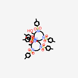 C=C1CN(S(=O)(=O)c2ccc(C)cc2)CCCN(S(=O)(=O)c2ccc(C)cc2)CCC[N+]([N+]2(S(=O)(=O)c3ccc(C)cc3)CCCN(S(=O)(=O)c3ccc(C)cc3)CCCN(S(=O)(=O)c3ccc(C)cc3)CC(CO)C2)(S(=O)(=O)c2ccc(C)cc2)C1